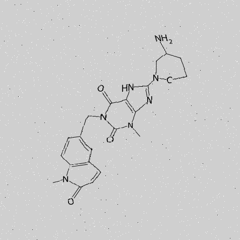 Cn1c(=O)ccc2cc(Cn3c(=O)c4[nH]c(N5CCCC(N)C5)nc4n(C)c3=O)ccc21